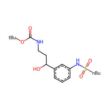 CCCCS(=O)(=O)Nc1cccc(C(O)CCNC(=O)OC(C)(C)C)c1